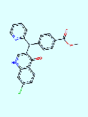 COC(=O)c1ccc(C(c2ccccn2)c2c[nH]c3cc(Cl)ccc3c2=O)cc1